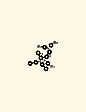 CC(C)(C)c1ccc(N2B3c4cc(-c5ccccc5)ccc4N(c4ccc(-c5ccccc5)cc4)c4cc5c(oc6ccccc65)c(c43)-c3cc4c(cc32)sc2ccc(N(c3ccc(C(C)(C)C)cc3)c3ccc(C(C)(C)C)cc3)cc24)cc1